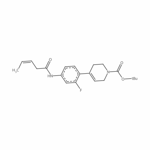 C/C=C\CC(=O)Nc1ccc(C2=CCN(C(=O)OC(C)(C)C)CC2)c(F)c1